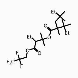 CCC(C(=O)OCC(F)(F)C(F)(F)F)C(C)(C)OC(=O)C(C)(CC(C)(C)CC)C(C)(C)CC